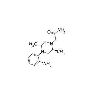 C[C@@H]1CN(CC(N)=O)[C@@H](C)CN1c1ccccc1N